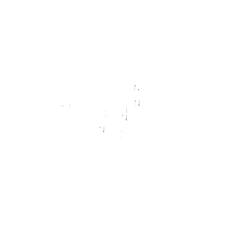 O=C(NC(Cc1ccccc1)Cn1ccnc1)c1nc2ccc(C(F)(F)F)cc2s1